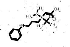 CC(C)=C[Si](CCCNc1ccccc1)([SiH](C)C)C(C)(C)C